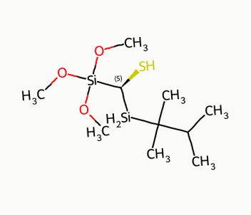 CO[Si](OC)(OC)[C@@H](S)[SiH2]C(C)(C)C(C)C